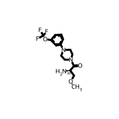 COC[C@@H](N)C(=O)N1CCN(c2cccc(OC(F)(F)F)c2)CC1